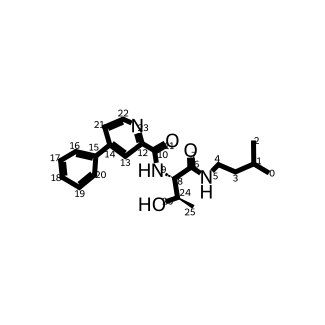 CC(C)CCNC(=O)[C@@H](NC(=O)c1cc(-c2ccccc2)ccn1)[C@@H](C)O